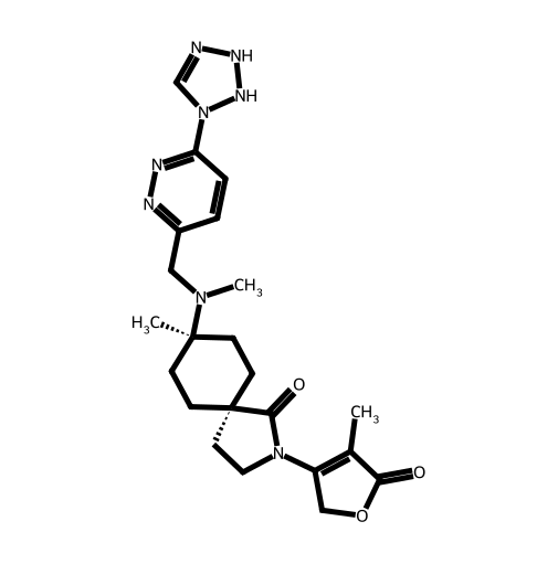 CC1=C(N2CC[C@]3(CC[C@](C)(N(C)Cc4ccc(N5C=NNN5)nn4)CC3)C2=O)COC1=O